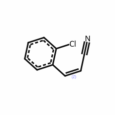 N#C/C=C\c1ccccc1Cl